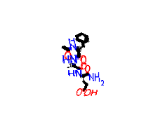 CC(=O)N[C@@H](Cc1ccccc1)C(=O)N[C@@H](C)C(=O)N[C@@H](CCC(=O)O)C(N)=O